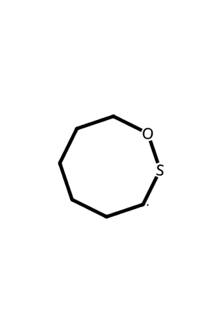 [CH]1CCCCCOS1